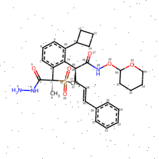 C[C@](C(=O)NN)(c1cccc(C2CCC2)c1[C@H](C/C=C/c1ccccc1)C(=O)NOC1CCCCO1)S(C)(=O)=O